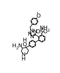 COc1ccc(Cn2nnc(-c3c(-c4ccc(C5(O)CCNCC5N)cc4)cccc3S(N)(=O)=O)n2)cc1